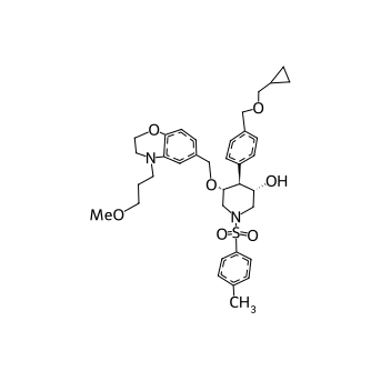 COCCCN1CCOc2ccc(CO[C@H]3CN(S(=O)(=O)c4ccc(C)cc4)C[C@@H](O)[C@@H]3c3ccc(COCC4CC4)cc3)cc21